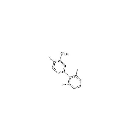 CCOC(=O)c1cc(-c2c(C)cccc2C)ccc1C